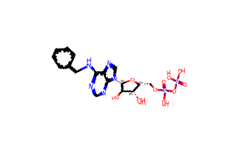 O=P(O)(O)OP(=O)(O)OC[C@H]1O[C@@H](n2cnc3c(NCc4ccccc4)ncnc32)C(O)[C@H]1O